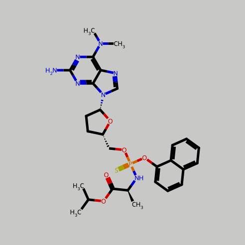 CC(C)OC(=O)[C@H](C)NP(=S)(OC[C@@H]1CC[C@H](n2cnc3c(N(C)C)nc(N)nc32)O1)Oc1cccc2ccccc12